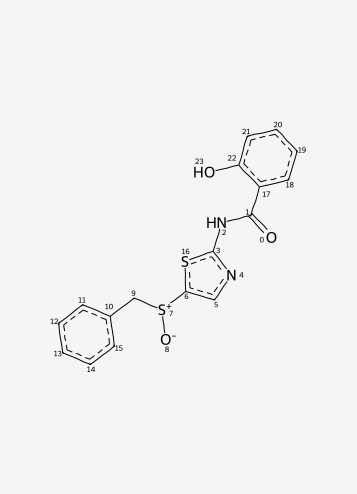 O=C(Nc1ncc([S+]([O-])Cc2ccccc2)s1)c1ccccc1O